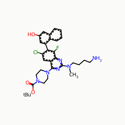 CN(CCCCN)c1nc(N2CCN(C(=O)OC(C)(C)C)CC2)c2cc(Cl)c(-c3cc(O)cc4ccccc34)c(F)c2n1